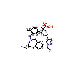 CC[C@H]1Cc2cccnc2CN(Cc2cc([C@H](OCc3cn(CC)nn3)C(C)(C)C(=O)O)ccc2C)C1